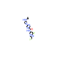 O=C(Nc1cc(F)c2nc(CF)cn2c1)c1cnc(N2CCC(NC3CC3)C2)cn1